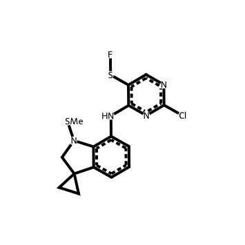 CSN1CC2(CC2)c2cccc(Nc3nc(Cl)ncc3SF)c21